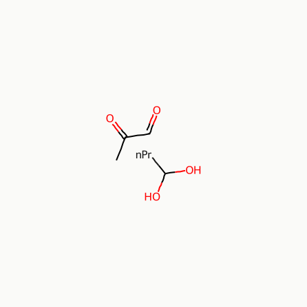 CC(=O)C=O.CCCC(O)O